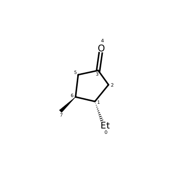 CC[C@H]1CC(=O)C[C@@H]1C